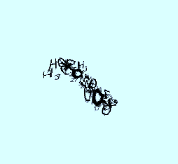 CC(C)(O)c1ccc(N2CCN(S(=O)(=O)c3ccc([N+](=O)[O-])c(F)c3)CC2)cc1